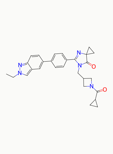 CCn1cc2cc(-c3ccc(C4=NC5(CC5)C(=O)N4CC4CN(C(=O)C5CC5)C4)cc3)ccc2n1